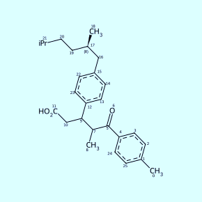 Cc1ccc(C(=O)C(C)C(CC(=O)O)c2ccc(C[C@H](C)CCC(C)C)cc2)cc1